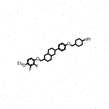 CCCC1CCC(COc2ccc(C3CCC4CC(COc5ccc(OCC)c(F)c5F)CCC4C3)cc2)CC1